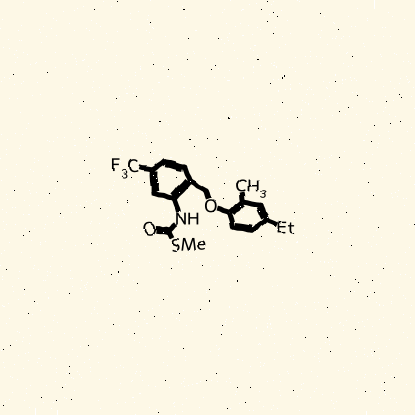 CCc1ccc(OCc2ccc(C(F)(F)F)cc2NC(=O)SC)c(C)c1